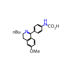 CCCC[C@H]1Cc2cc(OC)ccc2C(c2ccc(NC(=O)O)cc2)=N1